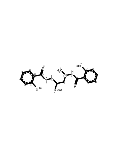 CCCCCC(CN(C)NC(=O)c1ccccc1C=O)NNC(=O)c1ccccc1C=O